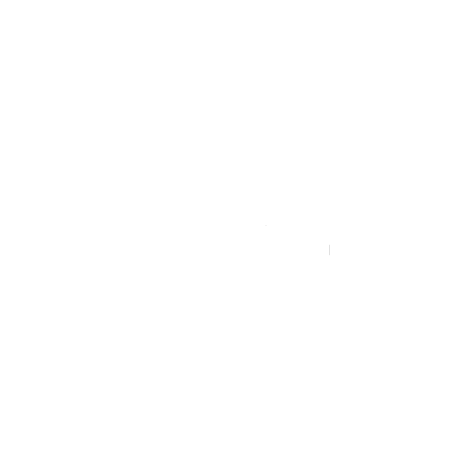 CC(C)CC(I)CCI